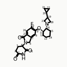 O=C1CCC(N2Cc3cc(O[C@@H]4CCCC[C@H]4N4CC(C5CC5)C4)c(F)cc3C2=O)C(=O)N1